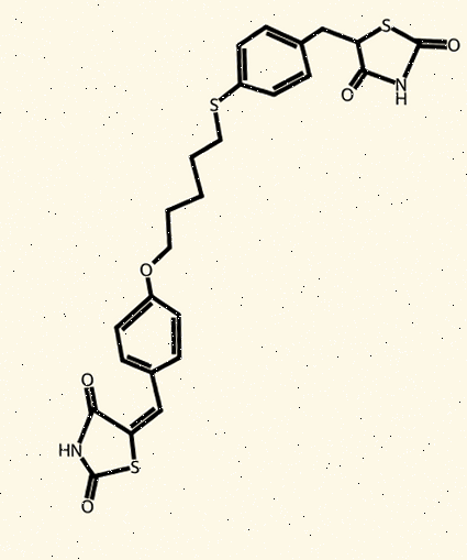 O=C1NC(=O)/C(=C\c2ccc(OCCCCCSc3ccc(CC4SC(=O)NC4=O)cc3)cc2)S1